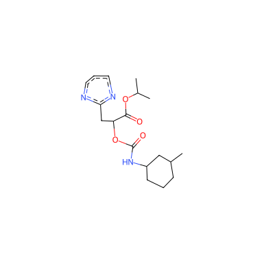 CC1CCCC(NC(=O)OC(Cc2ncccn2)C(=O)OC(C)C)C1